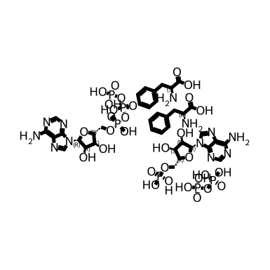 N[C@@H](Cc1ccccc1)C(=O)O.N[C@H](Cc1ccccc1)C(=O)O.Nc1ncnc2c1ncn2[C@@H]1O[C@H](COP(=O)(O)O)[C@@H](O)[C@H]1O.Nc1ncnc2c1ncn2[C@@H]1O[C@H](COP(=O)(O)OP(=O)(O)OP(=O)(O)O)[C@@H](O)[C@H]1O.O=P(O)(O)OP(=O)(O)O